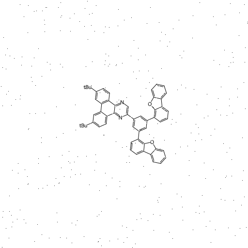 CC(C)(C)c1ccc2c(c1)c1cc(C(C)(C)C)ccc1c1nc(-c3cc(-c4cccc5c4oc4ccccc45)cc(-c4cccc5c4oc4ccccc45)c3)cnc21